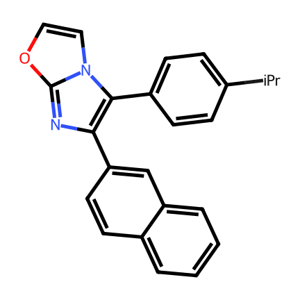 CC(C)c1ccc(-c2c(-c3ccc4ccccc4c3)nc3occn23)cc1